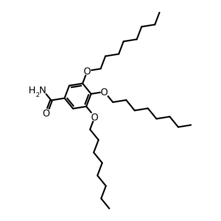 CCCCCCCCOc1cc(C(N)=O)cc(OCCCCCCCC)c1OCCCCCCCC